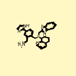 NCc1cc(-c2ncc[nH]2)ccc1CN(Cc1nc2ccccc2[nH]1)C1CCCc2cccnc21